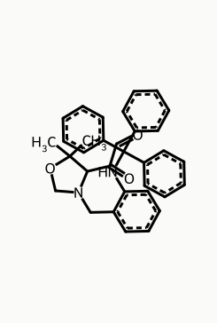 CC1(C)OCN(Cc2ccccc2NC(c2ccccc2)(c2ccccc2)c2ccccc2)C1C(=O)C=O